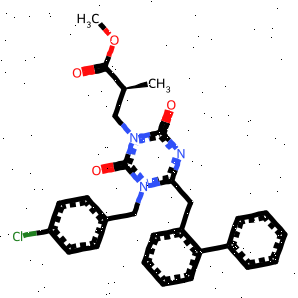 COC(=O)[C@@H](C)Cn1c(=O)nc(Cc2ccccc2-c2ccccc2)n(Cc2ccc(Cl)cc2)c1=O